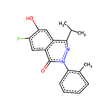 Cc1ccccc1-n1nc(C(C)C)c2cc(O)c(F)cc2c1=O